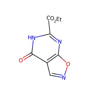 CCOC(=O)c1nc2oncc2c(=O)[nH]1